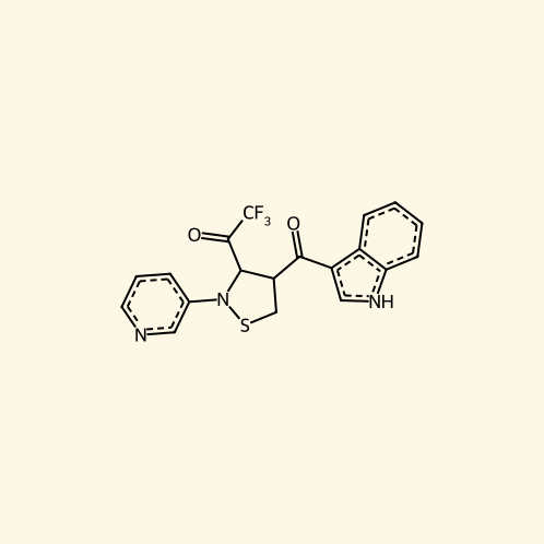 O=C(c1c[nH]c2ccccc12)C1CSN(c2cccnc2)C1C(=O)C(F)(F)F